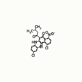 CC(C)CC(=O)c1c(Nc2ccc(Cl)cc2Cl)[nH]c2c(Cl)ccc([N+](=O)[O-])c2c1=O